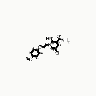 COc1ccc(OCCn2cc(Cl)cc(C(N)=O)c2=N)cc1